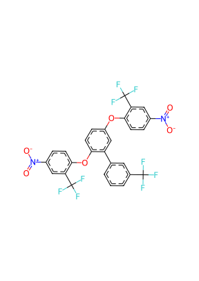 O=[N+]([O-])c1ccc(Oc2ccc(Oc3ccc([N+](=O)[O-])cc3C(F)(F)F)c(-c3cccc(C(F)(F)F)c3)c2)c(C(F)(F)F)c1